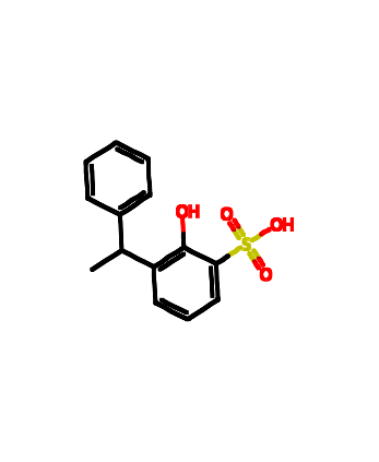 CC(c1ccccc1)c1cccc(S(=O)(=O)O)c1O